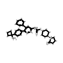 NC1(c2ccc(-c3nnc(NC(=O)C[C@H]4CC[C@H](N5CCCC5=O)CC4)cc3-c3ccccc3)cc2)CCC1